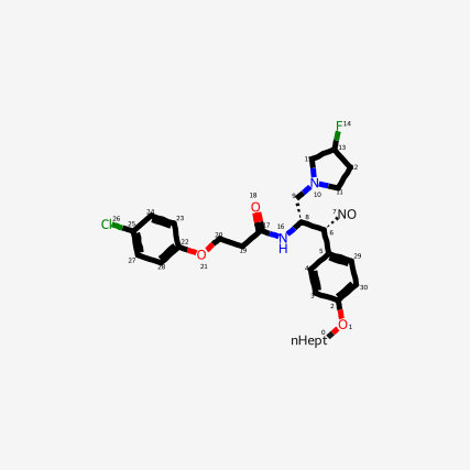 CCCCCCCOc1ccc([C@@H](N=O)[C@@H](CN2CCC(F)C2)NC(=O)CCOc2ccc(Cl)cc2)cc1